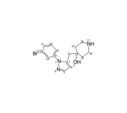 OC1(Cc2ccnn2-c2cccc(Br)c2)CCNCC1